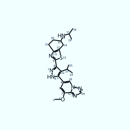 COc1cc(-c2[nH]nc(-c3nc4c(s3)CC(NC(C)C)CC4)c2C(C)C)cn2ncnc12